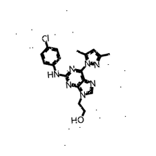 Cc1cc(C)n(-c2nc(Nc3ccc(Cl)cc3)nc3c2ncn3CCO)n1